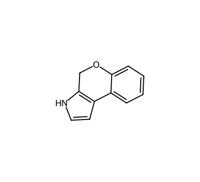 c1ccc2c(c1)OCc1[nH]ccc1-2